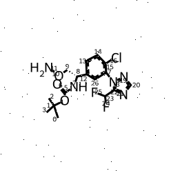 CC(C)(C)OC(=O)N[C@H](CON)c1ccc(Cl)c(-n2ncnc2C(F)F)c1